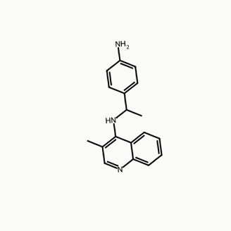 Cc1cnc2ccccc2c1NC(C)c1ccc(N)cc1